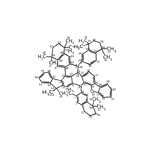 Cc1cc2c(cc1N1c3cc4c(c5c3B(c3ccc6c(oc7ccccc76)c31)N(c1ccc3c(c1)C(C)(C)CCC3(C)C)c1cc3c(cc1-5)C(C)(C)CCC3(C)C)-c1ccccc1C4(C)C)C(C)(C)CCC2